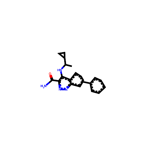 CC(Nc1c(C(N)=O)nnc2cc(-c3ccccc3)ccc12)C1CC1